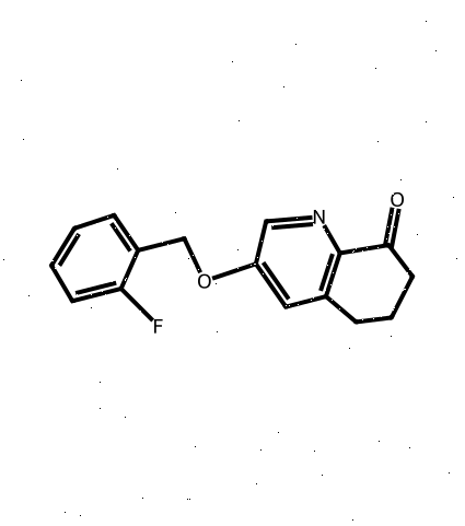 O=C1CCCc2cc(OCc3ccccc3F)cnc21